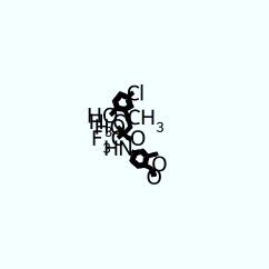 CC(C)(CC(O)(C(=O)Nc1ccc2c(c1)COC2=O)C(F)(F)F)c1cc(Cl)ccc1O